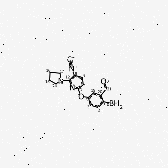 Bc1ccc(Oc2ccc([N+]#[C-])c(N3CCCC3)n2)cc1C=O